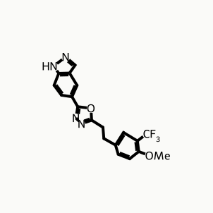 COc1ccc(CCc2nnc(-c3ccc4[nH]ncc4c3)o2)cc1C(F)(F)F